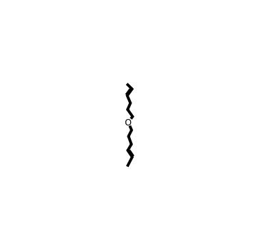 CC=CCCCOCCCC=CC